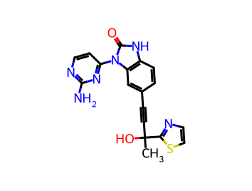 CC(O)(C#Cc1ccc2[nH]c(=O)n(-c3ccnc(N)n3)c2c1)c1nccs1